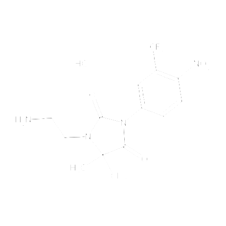 CC1(C)C(=O)N(c2ccc([N+](=O)[O-])c(C(F)(F)F)c2)C(=O)N1CCN.Cl